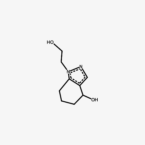 OCCn1ncc2c1CCCC2O